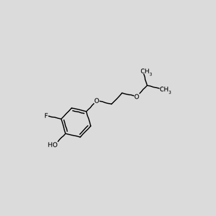 CC(C)OCCOc1ccc(O)c(F)c1